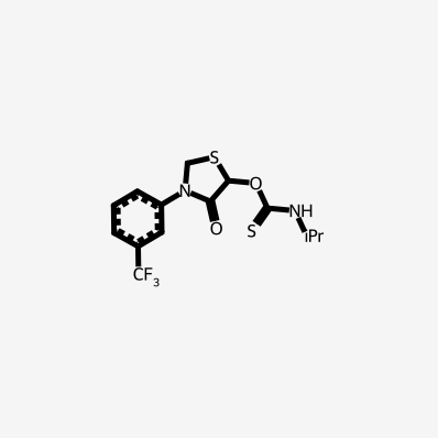 CC(C)NC(=S)OC1SCN(c2cccc(C(F)(F)F)c2)C1=O